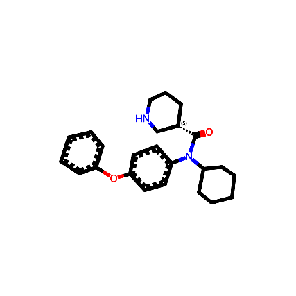 O=C([C@H]1CCCNC1)N(c1ccc(Oc2ccccc2)cc1)C1CCCCC1